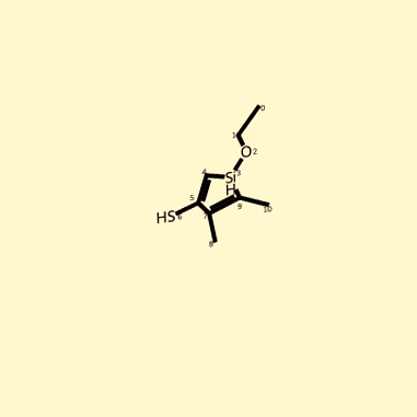 CCO[SiH]1C=C(S)C(C)=C1C